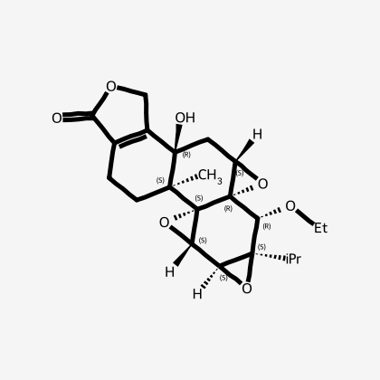 CCO[C@@H]1[C@@]2(C(C)C)O[C@H]2[C@@H]2O[C@]23[C@]12O[C@H]2C[C@@]1(O)C2=C(CC[C@]31C)C(=O)OC2